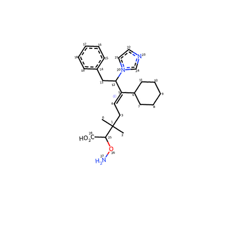 CC(C)(C/C=C(\C1CCCCC1)C(Cc1ccccc1)n1ccnc1)C(ON)C(=O)O